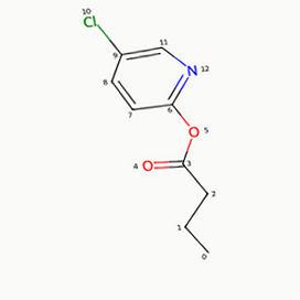 CCCC(=O)Oc1ccc(Cl)cn1